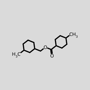 CC1CCC(C(=O)OCC2CCCC(C)C2)CC1